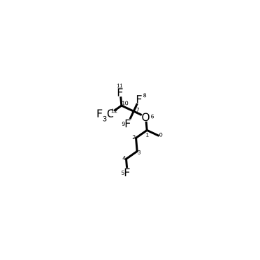 CC(CCCF)OC(F)(F)C(F)C(F)(F)F